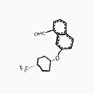 O=Cc1cccc2ccc(O[C@H]3CC[C@@H](C(F)(F)F)CC3)cc12